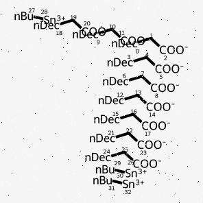 CCCCCCCCCCCC(=O)[O-].CCCCCCCCCCCC(=O)[O-].CCCCCCCCCCCC(=O)[O-].CCCCCCCCCCCC(=O)[O-].CCCCCCCCCCCC(=O)[O-].CCCCCCCCCCCC(=O)[O-].CCCCCCCCCCCC(=O)[O-].CCCCCCCCCCCC(=O)[O-].CCCCCCCCCCCC(=O)[O-].CCC[CH2][Sn+3].CCC[CH2][Sn+3].CCC[CH2][Sn+3]